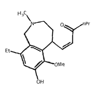 CCCC(=O)/C=C\C1CCN(C)Cc2c(CC)cc(O)c(OC)c21